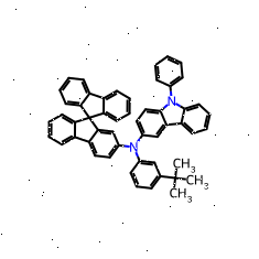 CC(C)(C)c1cccc(N(c2ccc3c(c2)C2(c4ccccc4-c4ccccc42)c2ccccc2-3)c2ccc3c(c2)c2ccccc2n3-c2ccccc2)c1